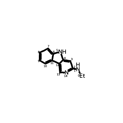 CCNc1cc2[nH]c3ccccc3c2cn1